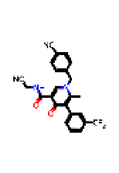 Cc1c(-c2cccc(C(F)(F)F)c2)c(=O)c(C(=O)NCC#N)cn1Cc1ccc(C#N)cc1